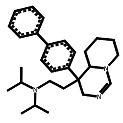 CC(C)N(CCC1(c2ccc(-c3ccccc3)cc2)CN=CN2CCCCC21)C(C)C